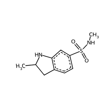 CNS(=O)(=O)c1ccc2c(c1)NC(C)C2